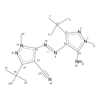 Cn1nc(C(C)(C)C)c(/N=N/c2c(C#N)c(C(C)(C)C)nn2C)c1N